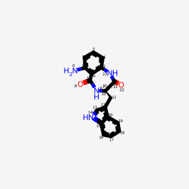 Nc1cccc2c1C(=O)N[C@H](Cc1c[nH]c3ccccc13)C(=O)N2